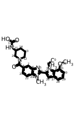 CCn1c(-c2nc3cc(C(=O)N4CCCC(NC(=O)O)C4)ccc3n2C)cc2cccc(OC)c21